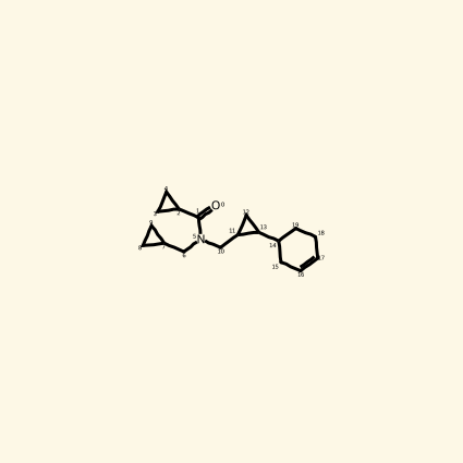 O=C(C1CC1)N(CC1CC1)CC1CC1C1CC=CCC1